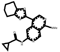 CNc1ncc(-c2nc3c(o2)CCCC3)c2cc(NC(=O)C3CC3)ncc12